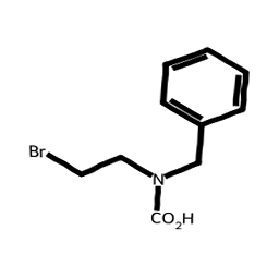 O=C(O)N(CCBr)Cc1ccccc1